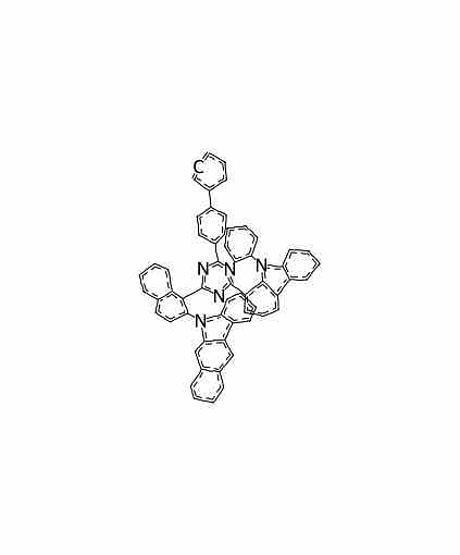 c1ccc(-c2ccc(-c3nc(-c4c(-n5c6ccccc6c6cc7ccccc7cc65)ccc5ccccc45)nc(-c4cccc5c6ccccc6n(-c6ccccc6)c45)n3)cc2)cc1